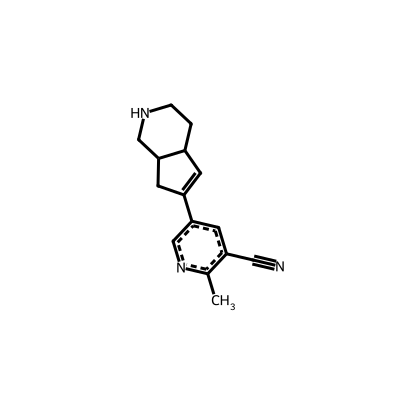 Cc1ncc(C2=CC3CCNCC3C2)cc1C#N